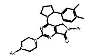 CC(=O)N1CCN(c2nc3c(c(N4CCCC4c4ccc(C)c(C)c4)n2)CN(C(C)C)C3=O)CC1